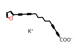 O=C([O-])C#CC#CCCCCCC#CC#Cc1ccco1.[K+]